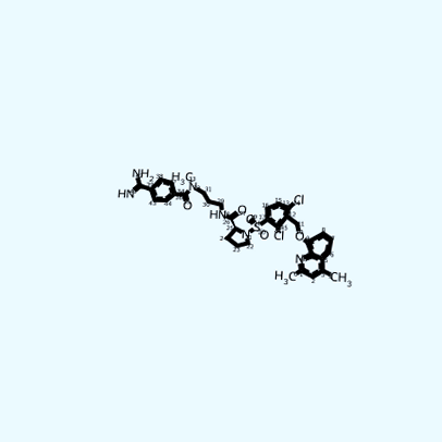 Cc1cc(C)c2cccc(OCc3c(Cl)ccc(S(=O)(=O)N4CCC[C@H]4C(=O)NCCCN(C)C(=O)c4ccc(C(=N)N)cc4)c3Cl)c2n1